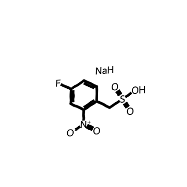 O=[N+]([O-])c1cc(F)ccc1CS(=O)(=O)O.[NaH]